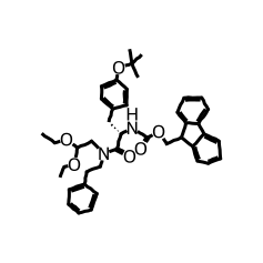 CCOC(CN(CCc1ccccc1)C(=O)[C@H](Cc1ccc(OC(C)(C)C)cc1)NC(=O)OCC1c2ccccc2-c2ccccc21)OCC